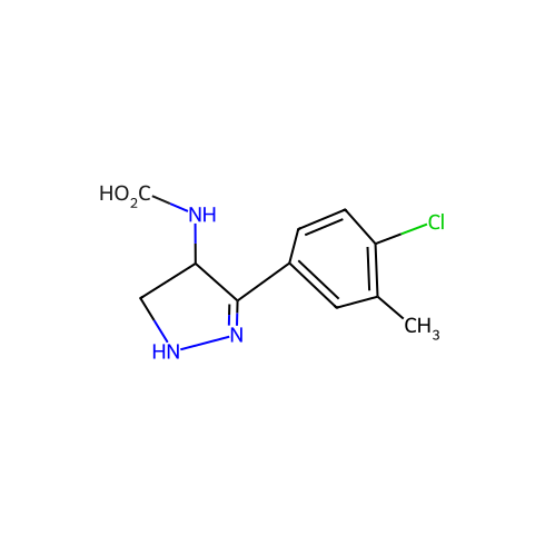 Cc1cc(C2=NNCC2NC(=O)O)ccc1Cl